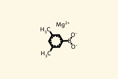 Cc1cc(C)cc(B([O-])[O-])c1.[Mg+2]